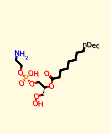 CCCCCCCCCCCCCCCCCC(=O)O[C@H](COO)COP(=O)(O)OCCN